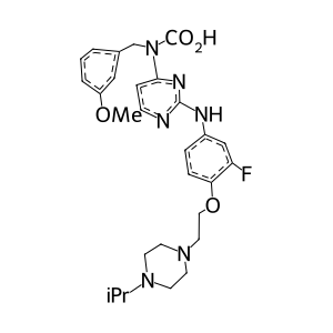 COc1cccc(CN(C(=O)O)c2ccnc(Nc3ccc(OCCN4CCN(C(C)C)CC4)c(F)c3)n2)c1